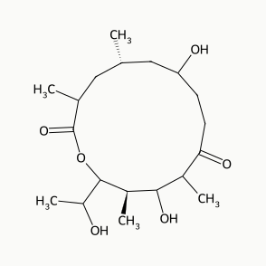 CC1C[C@H](C)CC(O)CCC(=O)C(C)C(O)[C@@H](C)C(C(C)O)OC1=O